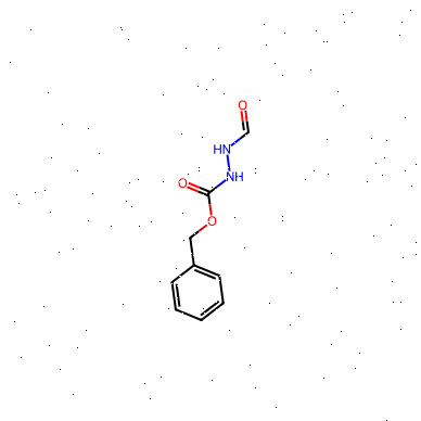 O=CNNC(=O)OCc1ccccc1